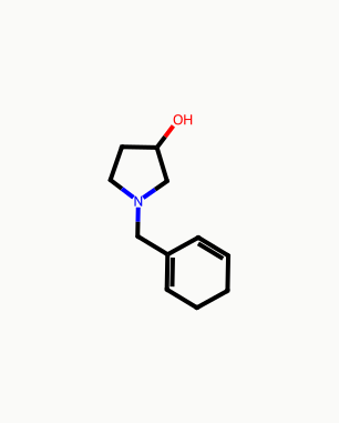 OC1CCN(CC2=CCCC=C2)C1